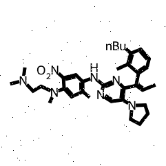 C/C=C(\c1cccc(CCCC)c1C)c1nc(Nc2cc([N+](=O)[O-])c(N(C)CCN(C)C)cc2C)ncc1N1CCCC1